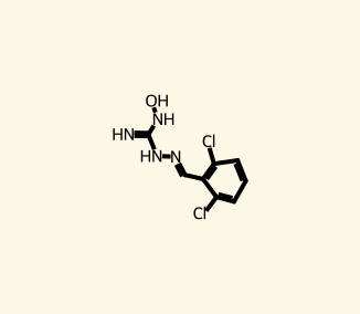 N=C(NO)NN=Cc1c(Cl)cccc1Cl